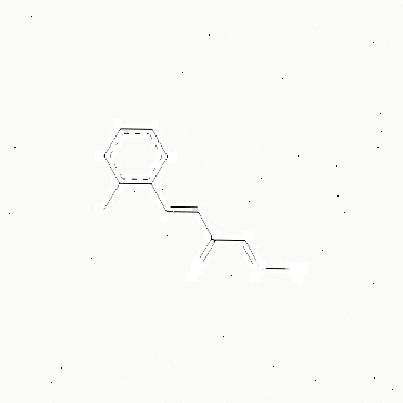 Cc1ccccc1C=CC(=O)C=NO